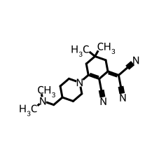 CN(C)CC1CCN(C2=C(C#N)C(=C(C#N)C#N)CC(C)(C)C2)CC1